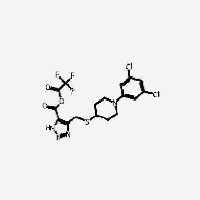 O=C(OC(=O)C(F)(F)F)c1[nH]nnc1CSC1CCN(c2cc(Cl)cc(Cl)c2)CC1